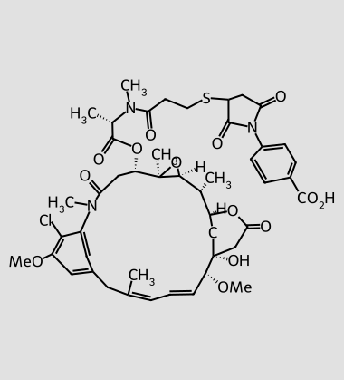 COc1cc2cc(c1Cl)N(C)C(=O)C[C@H](OC(=O)[C@H](C)N(C)C(=O)CCSC1CC(=O)N(c3ccc(C(=O)O)cc3)C1=O)[C@@]1(C)O[C@H]1[C@H](C)[C@@H]1C[C@@](O)(CC(=O)O1)[C@H](OC)/C=C/C=C(\C)C2